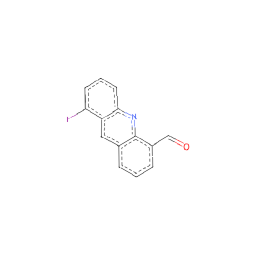 O=Cc1cccc2cc3c(I)cccc3nc12